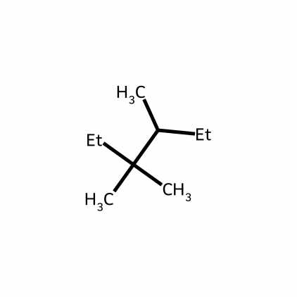 [CH2]CC(C)C(C)(C)C[CH2]